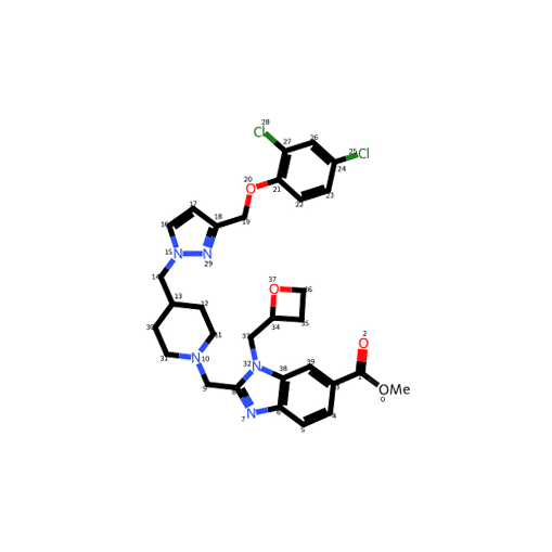 COC(=O)c1ccc2nc(CN3CCC(Cn4ccc(COc5ccc(Cl)cc5Cl)n4)CC3)n(CC3CCO3)c2c1